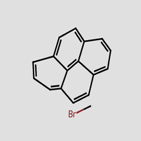 CBr.c1cc2ccc3cccc4ccc(c1)c2c34